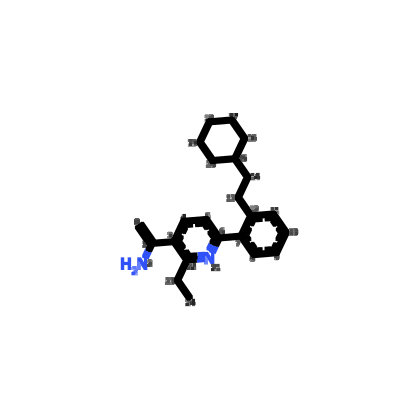 C=C(N)c1ccc(-c2ccccc2CCC2CCCCC2)nc1CC